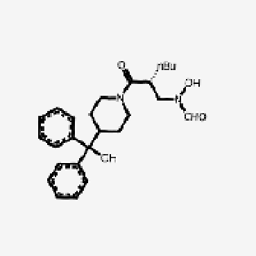 CCCC[C@H](CN(O)C=O)C(=O)N1CCC(C(O)(c2ccccc2)c2ccccc2)CC1